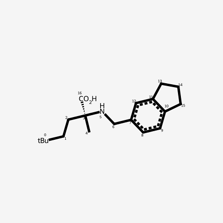 CC(C)(C)CC[C@](C)(NCc1ccc2c(c1)CCC2)C(=O)O